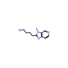 Cn1c(CCCC[N])nc2ccncc21